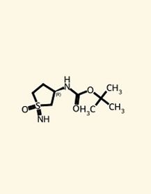 CC(C)(C)OC(=O)N[C@@H]1CCS(=N)(=O)C1